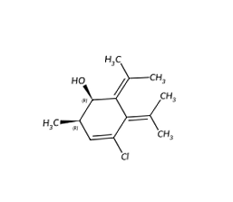 CC(C)=C1C(Cl)=C[C@@H](C)[C@@H](O)C1=C(C)C